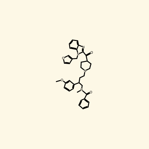 COc1cccc(C(CCN2CCC(C(=O)c3nc4ccccc4n3Cc3ccoc3)CC2)CN(C)C(=O)c2ccccc2)c1